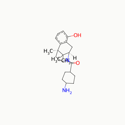 CC1(C)[C@H]2Cc3c(O)cccc3[C@]1(C)CCN2C(=O)C1CCC(N)CC1